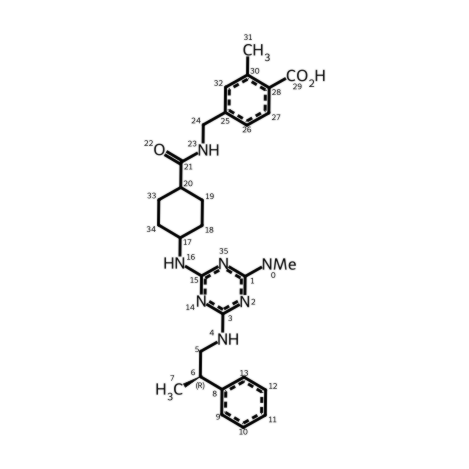 CNc1nc(NC[C@H](C)c2ccccc2)nc(NC2CCC(C(=O)NCc3ccc(C(=O)O)c(C)c3)CC2)n1